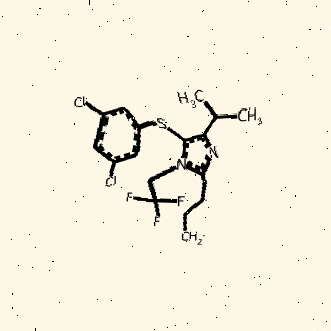 [CH2]C[CH]c1nc(C(C)C)c(Sc2cc(Cl)cc(Cl)c2)n1CC(F)(F)F